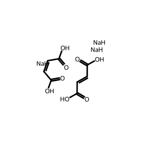 O=C(O)/C=C/C(=O)O.O=C(O)/C=C\C(=O)O.[NaH].[NaH].[NaH]